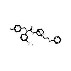 Cc1cccc(N(Cc2ccc(F)cc2)C(=O)OC2C[N+]3(CCOc4ccccc4)CCC2CC3)c1